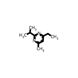 CCc1cc(C)nc(C(C)C)n1